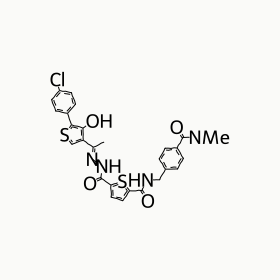 CNC(=O)c1ccc(CNC(=O)c2ccc(C(=O)N/N=C(\C)c3csc(-c4ccc(Cl)cc4)c3O)s2)cc1